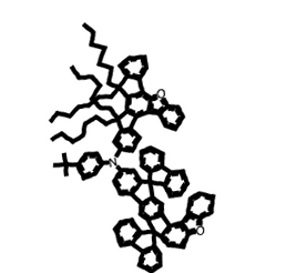 CCCCCCCC1(CCCCCCC)c2ccccc2-c2c1c1c(c3c2oc2ccccc23)-c2ccc(N(c3ccc(C(C)(C)C)cc3)c3ccc4c(c3)C3(c5ccccc5-c5ccccc53)c3cc5c(cc3-4)C3(c4ccccc4-c4ccccc43)c3ccc4oc6ccccc6c4c3-5)cc2C1(CCCCCCC)CCCCCCC